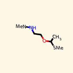 CNNCCOC(C)SC